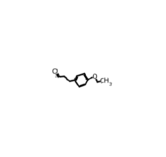 CCOc1ccc(CC[C]=O)cc1